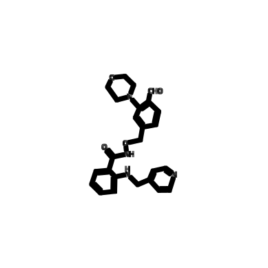 O=Cc1ccc(CONC(=O)c2ccccc2NCc2ccncc2)cc1N1CCOCC1